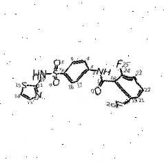 O=C(Nc1ccc(S(=O)(=O)Nc2nccs2)cc1)c1c(F)cccc1F